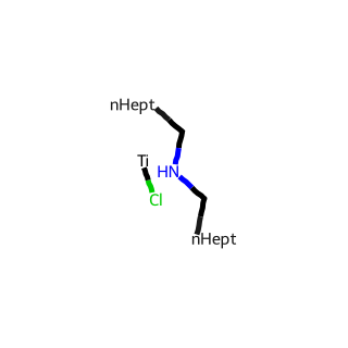 CCCCCCCCNCCCCCCCC.[Cl][Ti]